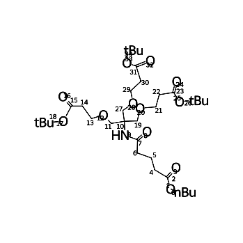 CCCCOC(=O)CCCC(=O)NC(COCCC(=O)OC(C)(C)C)(COCCC(=O)OC(C)(C)C)COCCC(=O)OC(C)(C)C